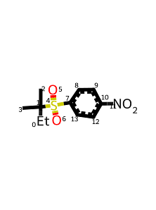 CCC(C)(C)S(=O)(=O)c1ccc([N+](=O)[O-])cc1